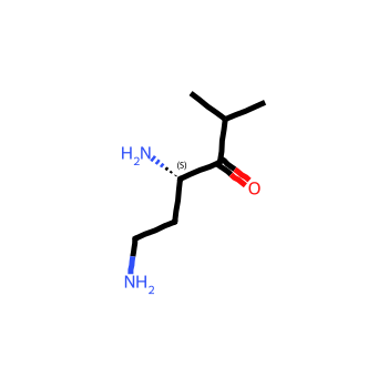 CC(C)C(=O)[C@@H](N)CCN